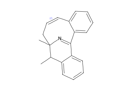 CC1c2ccccc2C2=NC1(C)C/C=C\c1ccccc12